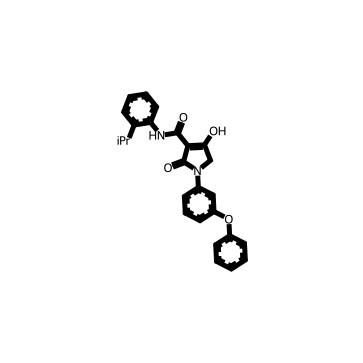 CC(C)c1ccccc1NC(=O)C1=C(O)CN(c2cccc(Oc3ccccc3)c2)C1=O